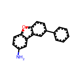 Nc1ccc2oc3ccc(-c4ccccc4)cc3c2c1